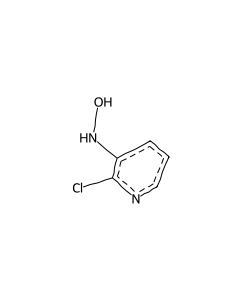 ONc1cccnc1Cl